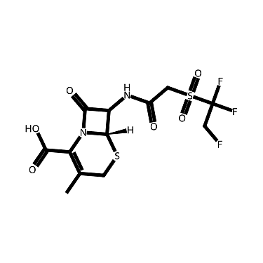 CC1=C(C(=O)O)N2C(=O)C(NC(=O)CS(=O)(=O)C(F)(F)CF)[C@@H]2SC1